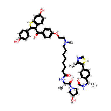 CCN(CCCCCCCC(=O)N[C@H](C(=O)N1C[C@H](O)C[C@H]1C(=O)N[C@@H](C)c1ccc(-c2scnc2C)cc1)C(C)(C)C)CCOc1ccc(C(=O)c2c(-c3ccc(O)cc3)sc3cc(O)ccc23)cc1